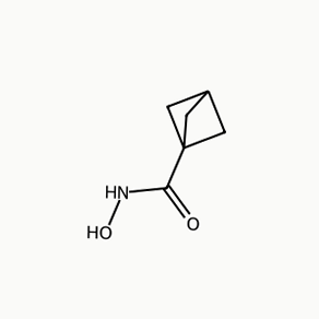 O=C(NO)C12CC(C1)C2